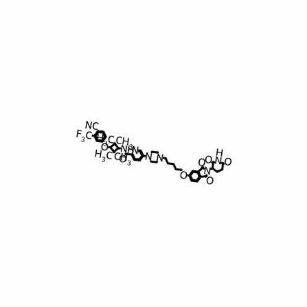 CC1(C)C(NC(=O)c2ccc(N3CCN(CCCCCOc4ccc5c(c4)C(=O)N(C4CCC(=O)NC4=O)C5=O)CC3)cn2)C(C)(C)C1Oc1ccc(C#N)c(C(F)(F)F)c1